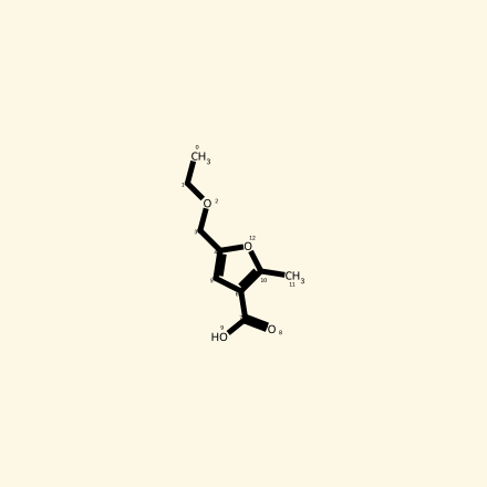 CCOCc1cc(C(=O)O)c(C)o1